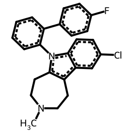 CN1CCc2c(n(-c3ccccc3-c3ccc(F)cc3)c3ccc(Cl)cc23)CC1